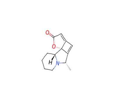 C[C@H]1C2=CC3=CC(=O)O[C@]32[C@H]2CCCCN12